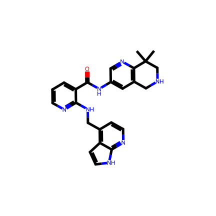 CC1(C)CNCc2cc(NC(=O)c3cccnc3NCc3ccnc4[nH]ccc34)cnc21